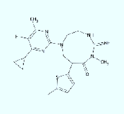 Cc1nc(N2CCNC(=N)N(C)C(=O)C(c3ccc(I)s3)C2)nc(C2CC2)c1F